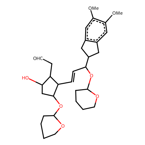 COc1cc2c(cc1OC)CC(C(C=CC1C(OC3CCCCO3)CC(O)C1CC=O)OC1CCCCO1)C2